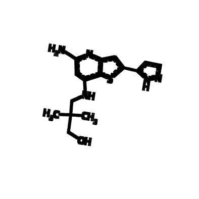 CC(C)(CO)CNc1cc(N)nc2cc(-c3ccn[nH]3)sc12